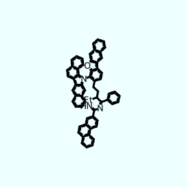 CCC(CCc1ccc2c(oc3cc4ccccc4cc32)c1-n1c2cc3ccccc3cc2c2ccc3ccccc3c21)/C(=N\C(=N)c1ccc2c(ccc3ccccc32)c1)c1ccccc1